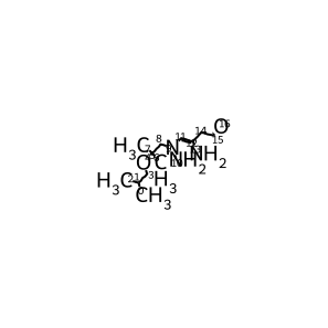 CC(C)COC(C)(C)CN(N)/C=C(\N)CC=O